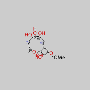 COCOc1cc(O)c2c(c1)/C=C/C[C@H](O)[C@H](O)C(O)/C=C\C[C@H](C)OC2O